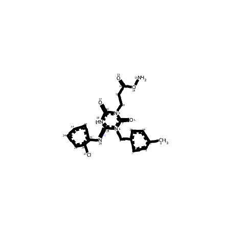 Cc1ccc(Cn2c(=O)n(CCC(=O)ON)c(=O)[nH]/c2=N\c2ccccc2Cl)cc1